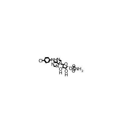 NS(=O)(=O)OC[C@H]1OC(n2cnc3c(Nc4ccc(Cl)cc4)ncnc32)[C@H](O)[C@@H]1O